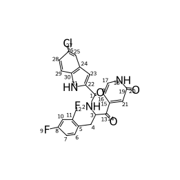 O=C(NC(Cc1ccc(F)cc1F)C(=O)c1cc[nH]c(=O)c1)c1cc2cc(Cl)ccc2[nH]1